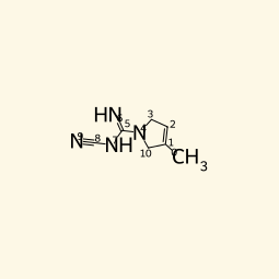 CC1=CCN(C(=N)NC#N)C1